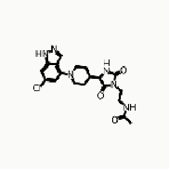 CC(=O)NCCN1C(=O)NC(C2CCN(c3cc(Cl)cc4[nH]ncc34)CC2)C1=O